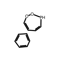 c1cc[pH]ooc1.c1ccccc1